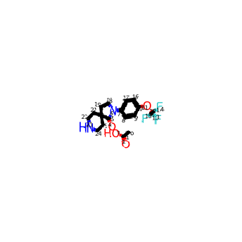 CC(=O)O.O=C1N(c2ccc(OC(F)(F)F)cc2)CCC12CCNCC2